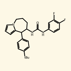 CC(C)(C)c1ccc(C2c3cccn3CCCC2NC(=O)Nc2ccc(F)c(F)c2)cc1